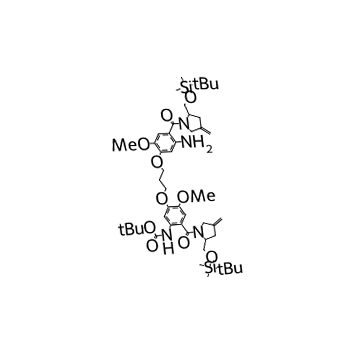 C=C1CC(CO[Si](C)(C)C(C)(C)C)N(C(=O)c2cc(OC)c(OCCCOc3cc(NC(=O)OC(C)(C)C)c(C(=O)N4CC(=C)CC4CO[Si](C)(C)C(C)(C)C)cc3OC)cc2N)C1